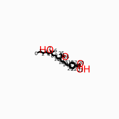 CCCCCC(C)(O)CCCC(CCCc1ccc(C(=O)O)cc1)C(C)=O